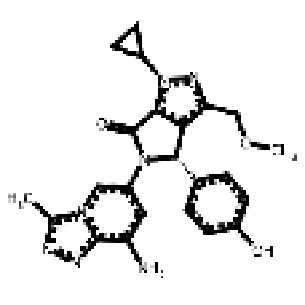 COCc1nn(C2CC2)c2c1[C@H](c1ccc(O)cc1)N(c1cc(N)c3nnc(C)n3c1)C2=O